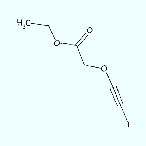 CCOC(=O)COC#CI